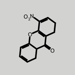 O=C1C2=C(OC3=CC=CCC13)C([N+](=O)[O-])=CCC2